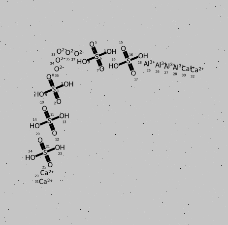 O=S(=O)(O)O.O=S(=O)(O)O.O=S(=O)(O)O.O=S(=O)(O)O.O=S(=O)(O)O.[Al+3].[Al+3].[Al+3].[Al+3].[Ca+2].[Ca+2].[Ca+2].[Ca+2].[O-2].[O-2].[O-2].[O-2].[O-2]